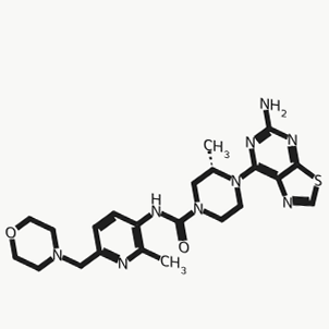 Cc1nc(CN2CCOCC2)ccc1NC(=O)N1CCN(c2nc(N)nc3scnc23)[C@@H](C)C1